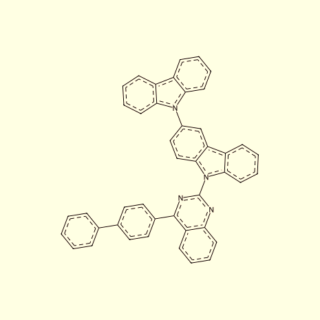 c1ccc(-c2ccc(-c3nc(-n4c5ccccc5c5cc(-n6c7ccccc7c7ccccc76)ccc54)nc4ccccc34)cc2)cc1